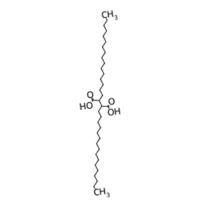 CCCCCCCCCCCCCCCCC(C(=O)O)C(CCCCCCCCCCCCCCCC)C(=O)O